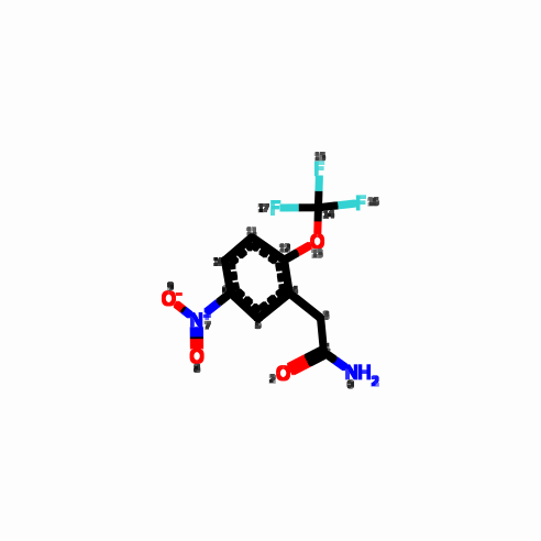 NC(=O)Cc1cc([N+](=O)[O-])ccc1OC(F)(F)F